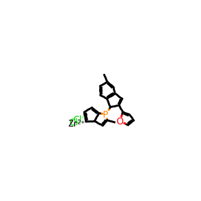 CC1=CC2C=CC=C2P1C1C(c2ccco2)=Cc2cc(C)ccc21.[Cl-].[Cl-].[Zr+2]